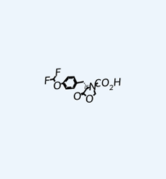 O=C1OCN(C(=O)O)[C@H]1Cc1ccc(OC(F)F)cc1